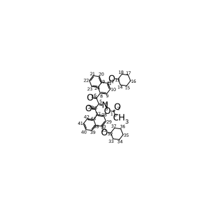 CC(=O)ON=C(C(=O)c1ccc(OC2CCCCC2)c2ccccc12)C(=O)c1ccc(OC2CCCCC2)c2ccccc12